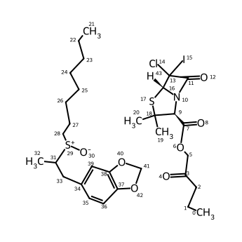 CCCC(=O)COC(=O)[C@@H]1N2C(=O)C(Cl)(I)[C@H]2SC1(C)C.CCCCCCCC[S+]([O-])C(C)Cc1ccc2c(c1)OCO2